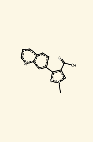 Cn1cc(C(=O)O)c(-c2ccc3cccnc3c2)n1